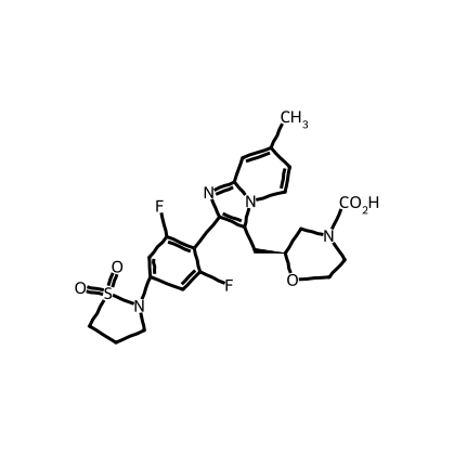 Cc1ccn2c(C[C@H]3CN(C(=O)O)CCO3)c(-c3c(F)cc(N4CCCS4(=O)=O)cc3F)nc2c1